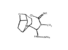 CNNC(N(C)C(=N)Cl)N1C2CCC3OC(C2)C31